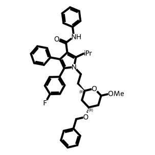 COC1C[C@H](OCc2ccccc2)C[C@@H](CCn2c(-c3ccc(F)cc3)c(-c3ccccc3)c(C(=O)Nc3ccccc3)c2C(C)C)O1